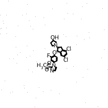 CS(=O)(=O)c1nccn1-c1ccc(O[C@H]2c3cc(Cl)cc(Cl)c3C[C@@H]2N2CCC(O)C2)c(F)c1